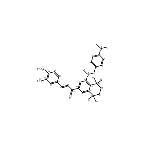 CN(C)c1ccc(CN(C)c2cc(C(=O)/C=C/c3ccc(C(=O)O)c(O)c3)cc3c2C(C)(C)CCC3(C)C)cc1